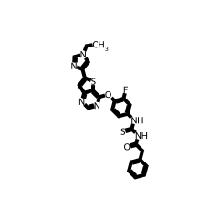 CCn1cnc(-c2cc3ncnc(Oc4ccc(NC(=S)NC(=O)Cc5ccccc5)cc4F)c3s2)c1